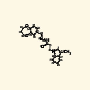 Cc1cn(CCC(=O)NN=Cc2ccc3c(c2)OCCCO3)c2ccccc12